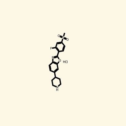 CS(=O)(=O)c1ccc(-c2nc3ccc(C4CCNCC4)cc3o2)c(F)c1.Cl